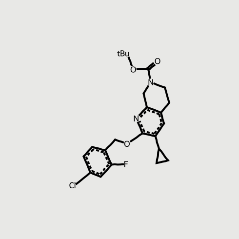 CC(C)(C)OC(=O)N1CCc2cc(C3CC3)c(OCc3ccc(Cl)cc3F)nc2C1